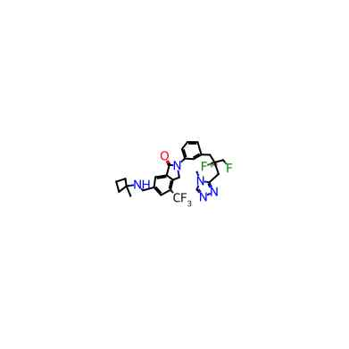 Cn1cnnc1C[C@@](F)(CF)Cc1cccc(N2Cc3c(cc(CNC4(C)CCC4)cc3C(F)(F)F)C2=O)c1